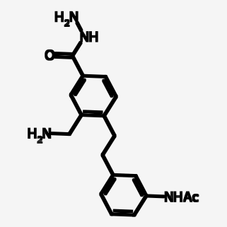 CC(=O)Nc1cccc(CCc2ccc(C(=O)NN)cc2CN)c1